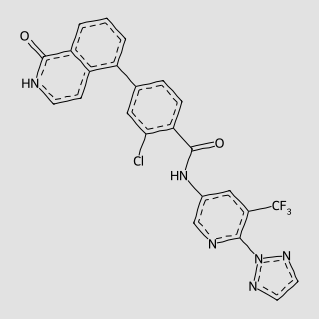 O=C(Nc1cnc(-n2nccn2)c(C(F)(F)F)c1)c1ccc(-c2cccc3c(=O)[nH]ccc23)cc1Cl